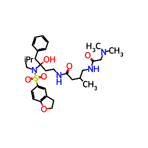 CC(C)CN(C(O)(CCNC(=O)CC(C)CNC(=O)CN(C)C)Cc1ccccc1)S(=O)(=O)c1ccc2c(c1)CCO2